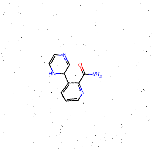 NC(=O)c1ncccc1C1C=NC=CN1